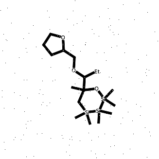 CCC(OCC1CCCO1)C1(C)C[Si](C)(C)[Si](C)(C)[Si](C)(C)O1